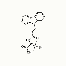 CC(C)(S)[C@H](NC(=O)OCC1c2ccccc2-c2ccccc21)C(=O)O